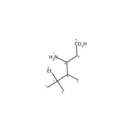 CCC(C)(C)C(C)C(N)CC(=O)O